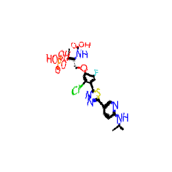 CC(C)Nc1ccc(-c2nnc(-c3cc(F)c(OC[C@@H](NC(=O)O)[C@H](C)OP(=O)(O)O)cc3Cl)s2)cn1